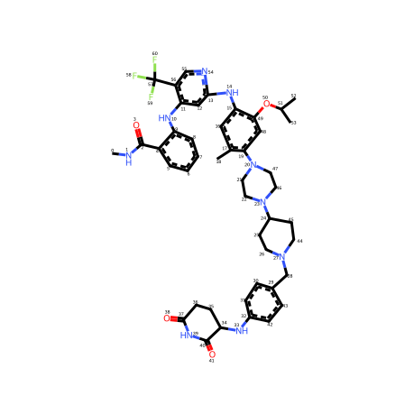 CNC(=O)c1ccccc1Nc1cc(Nc2cc(C)c(N3CCN(C4CCN(Cc5ccc(NC6CCC(=O)NC6=O)cc5)CC4)CC3)cc2OC(C)C)ncc1C(F)(F)F